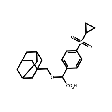 O=C(O)C(OCC12CC3CC(CC(C3)C1)C2)c1ccc(S(=O)(=O)C2CC2)cc1